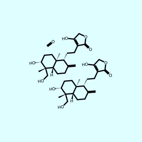 C=C1CC[C@@H]2[C@](C)(CO)[C@H](O)CC[C@@]2(C)[C@@H]1CCC1=C(O)COC1=O.C=C1CC[C@@H]2[C@](C)(CO)[C@H](O)CC[C@@]2(C)[C@@H]1CCC1=C(O)COC1=O.C=O